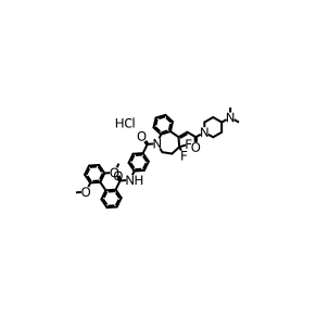 COc1cccc(OC)c1-c1ccccc1C(=O)Nc1ccc(C(=O)N2CCC(F)(F)C(=CC(=O)N3CCC(N(C)C)CC3)c3ccccc32)cc1.Cl